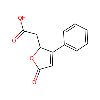 O=C(O)CC1OC(=O)C=C1c1ccccc1